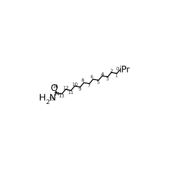 CC(C)CCCCCCCCCCCCCC(N)=O